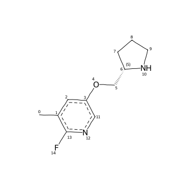 Cc1cc(OC[C@@H]2CCCN2)cnc1F